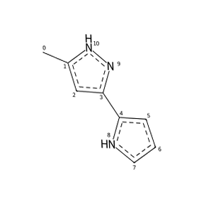 Cc1cc(-c2ccc[nH]2)n[nH]1